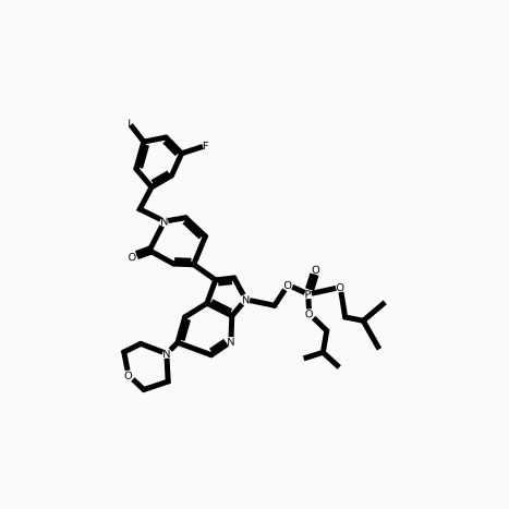 CC(C)COP(=O)(OCC(C)C)OCn1cc(-c2ccn(Cc3cc(F)cc(I)c3)c(=O)c2)c2cc(N3CCOCC3)cnc21